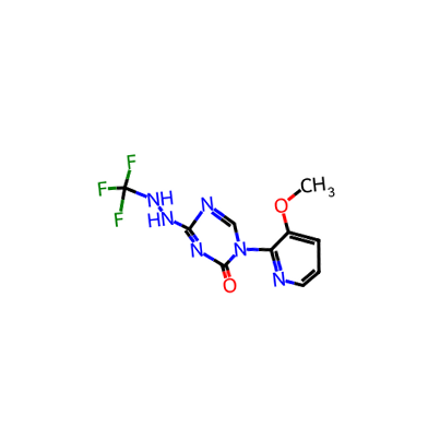 COc1cccnc1-n1cnc(NNC(F)(F)F)nc1=O